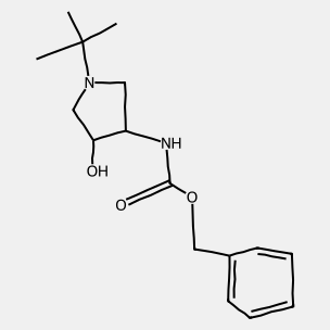 CC(C)(C)N1CC(O)C(NC(=O)OCc2ccccc2)C1